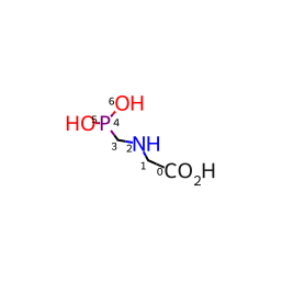 O=C(O)CNCP(O)O